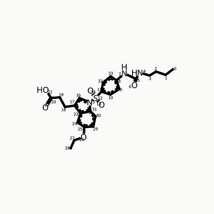 CCCCNC(=O)Nc1ccc(S(=O)(=O)n2cc(CCC(=O)O)c3cc(OCC)ccc32)cc1